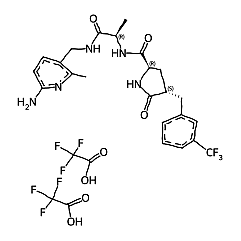 Cc1nc(N)ccc1CNC(=O)[C@@H](C)NC(=O)[C@H]1C[C@H](Cc2cccc(C(F)(F)F)c2)C(=O)N1.O=C(O)C(F)(F)F.O=C(O)C(F)(F)F